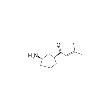 CC(C)=CC(=O)[C@H]1CCC[C@@H](N)C1